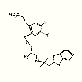 CCOC(=O)CCc1cc(F)c(F)cc1[C@@H](C)OC[C@H](O)CNC(C)(C)CC1Cc2ccccc2C1